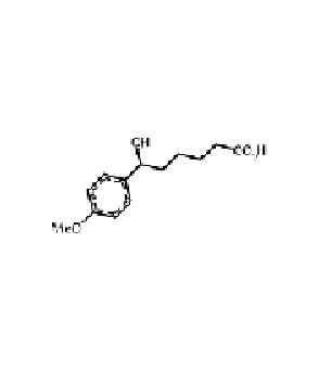 COc1ccc(C(O)CCCCC(=O)O)cc1